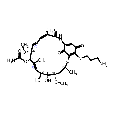 CO[C@H]1C[C@H](C)CC2=C(NCCCN)C(=O)C=C(NC(=O)/C(C)=C\C=C\[C@@H](OC)[C@@H](OC(N)=O)/C(C)=C/[C@H](C)[C@H]1O)C2=O